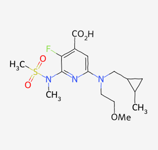 COCCN(CC1CC1C)c1cc(C(=O)O)c(F)c(N(C)S(C)(=O)=O)n1